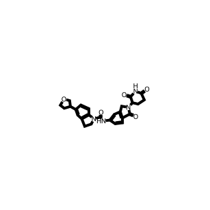 O=C1CCC(N2Cc3cc(NC(=O)N4CCc5cc(C6CCOC6)ccc54)ccc3C2=O)C(=O)N1